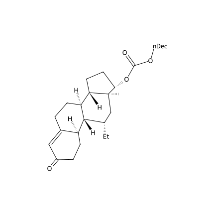 CCCCCCCCCCOC(=O)O[C@H]1CC[C@H]2[C@@H]3CCC4=CC(=O)CC[C@@H]4[C@H]3[C@@H](CC)C[C@]12C